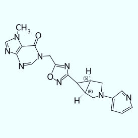 Cn1cnc2ncn(Cc3nc(C4[C@H]5CN(c6cccnc6)C[C@@H]45)no3)c(=O)c21